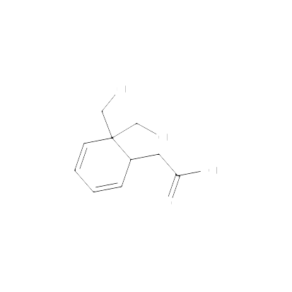 O=C(O)CC1C=CC=CC1(CO)CO